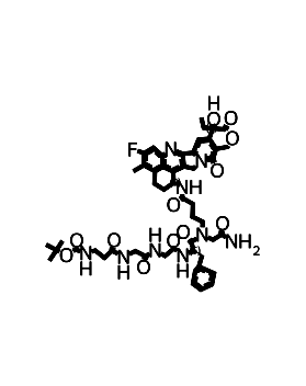 CC[C@@]1(O)C(=O)OCc2c1cc1n(c2=O)Cc2c-1nc1cc(F)c(C)c3c1c2[C@@H](NC(=O)CCCN(CC(N)=O)C(=O)[C@H](Cc1ccccc1)NC(=O)CNC(=O)CNC(=O)CCNC(=O)OC(C)(C)C)CC3